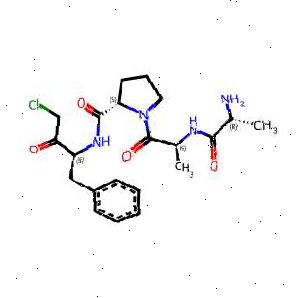 C[C@H](NC(=O)[C@@H](C)N)C(=O)N1CCC[C@H]1C(=O)N[C@@H](Cc1ccccc1)C(=O)CCl